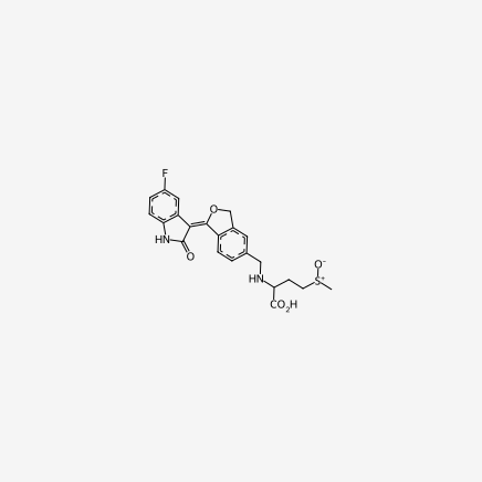 C[S+]([O-])CCC(NCc1ccc2c(c1)CO/C2=C1/C(=O)Nc2ccc(F)cc21)C(=O)O